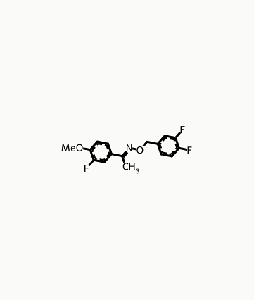 COc1ccc(C(C)=NOCc2ccc(F)c(F)c2)cc1F